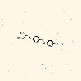 CC(CCc1ccc(COc2ccc(C(=O)O)cc2)cc1)CC(C)(C)C